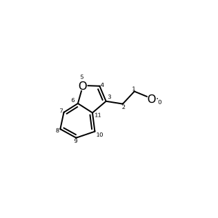 [O]CCc1coc2ccccc12